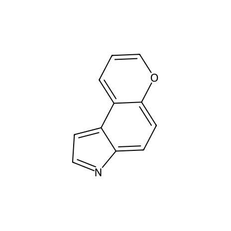 c1coc2ccc3nccc3c2c1